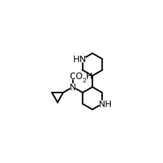 O=C(O)N(C1CC1)C1CCNCC1C1CCCNC1